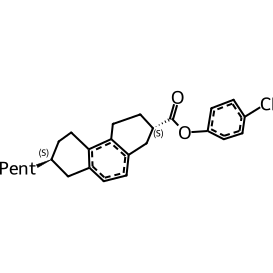 CCCCC[C@H]1CCc2c(ccc3c2CC[C@H](C(=O)Oc2ccc(C#N)cc2)C3)C1